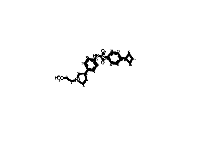 CCCN1CCC(c2ccc(NS(=O)(=O)c3ccc(C4CCC4)cc3)cc2)C1